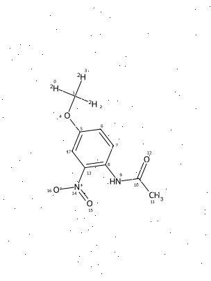 [2H]C([2H])([2H])Oc1ccc(NC(C)=O)c([N+](=O)[O-])c1